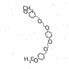 COc1ccc(COCCOc2ccc(OCCOCc3ccc(OC)cc3)cc2)cc1